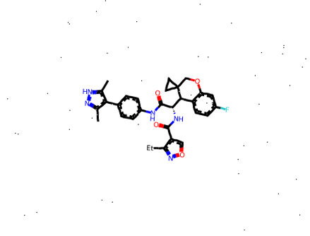 CCc1nocc1C(=O)N[C@H](C(=O)Nc1ccc(-c2c(C)n[nH]c2C)cc1)C1c2ccc(F)cc2OCC12CC2